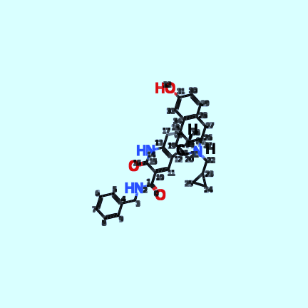 O=C(NCc1ccccc1)c1cc2c([nH]c1=O)C[C@]13CCN(CC4CC4)[C@H](Cc4ccc(O)cc41)[C@@H]3C2